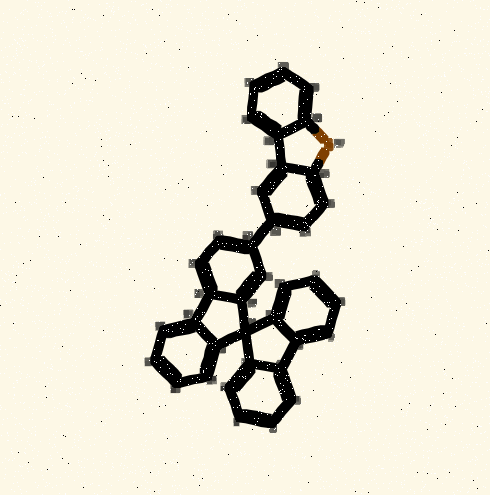 c1ccc2c(c1)-c1ccccc1C21c2ccccc2-c2ccc(-c3ccc4sc5ccccc5c4c3)cc21